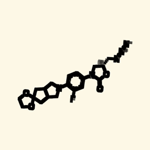 [N-]=[N+]=NC[C@H]1CN(c2ccc(N3CC4CC5(CC4C3)OCCO5)c(F)c2)C(=O)O1